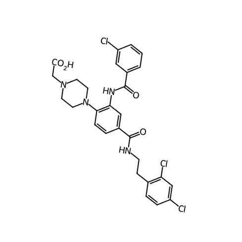 O=C(O)CN1CCN(c2ccc(C(=O)NCCc3ccc(Cl)cc3Cl)cc2NC(=O)c2cccc(Cl)c2)CC1